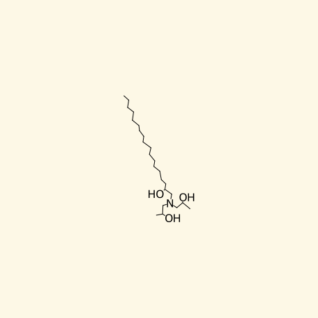 CCCCCCCCCCCCCCCCC(O)CN(CC(C)O)CC(C)O